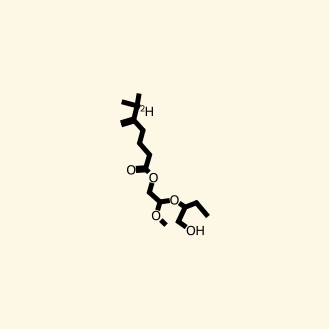 [2H]C(C)(C)C(=C)CCCC(=O)OCC(OC)OC(CC)CO